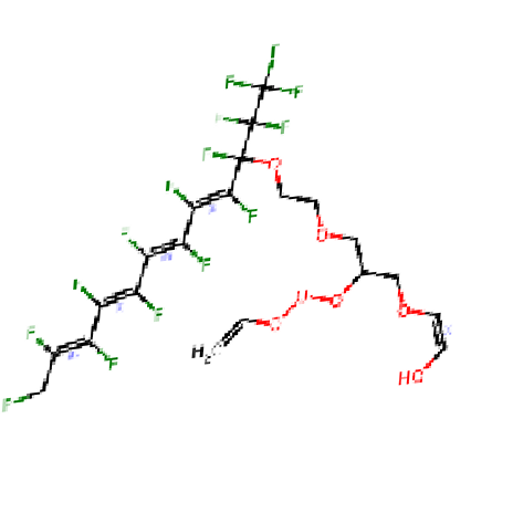 C=COOOC(CO/C=C\O)COCCOC(F)(/C(F)=C(F)/C(F)=C(F)/C(F)=C(F)/C(F)=C(\F)CF)C(F)(F)C(F)(F)F